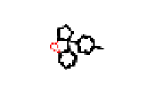 Cc1ccc(C23CCCC2Oc2ccccc23)cc1